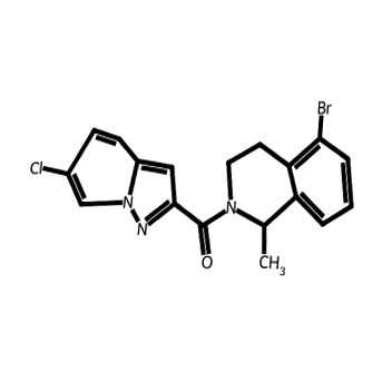 CC1c2cccc(Br)c2CCN1C(=O)c1cc2ccc(Cl)cn2n1